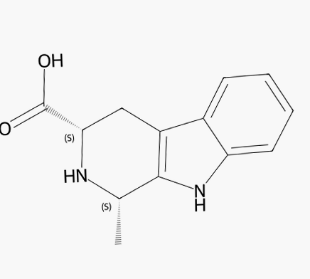 C[C@@H]1N[C@H](C(=O)O)Cc2c1[nH]c1ccccc21